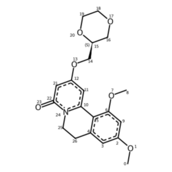 COc1cc2c(c(OC)c1)-c1cc(OC[C@@H]3COCCO3)cc(=O)n1CC2